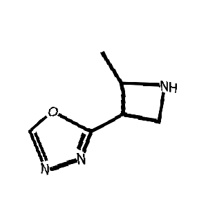 CC1NCC1c1nnco1